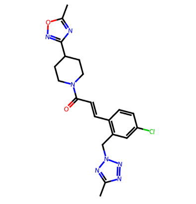 Cc1nnn(Cc2cc(Cl)ccc2C=CC(=O)N2CCC(c3noc(C)n3)CC2)n1